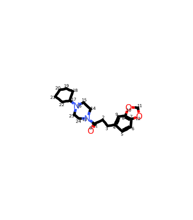 O=C(CCc1ccc2c(c1)OCO2)N1CCN(C2CCCCC2)CC1